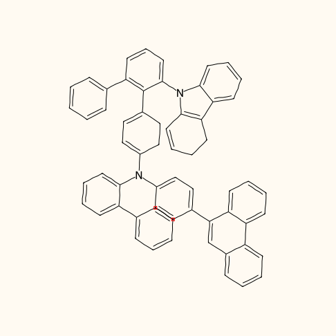 C1=Cc2c(c3ccccc3n2-c2cccc(-c3ccccc3)c2C2=CC=C(N(c3ccc(-c4cc5ccccc5c5ccccc45)cc3)c3ccccc3-c3ccccc3)CC2)CC1